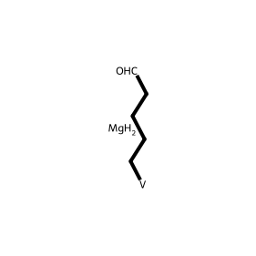 O=CCCC[CH2][V].[MgH2]